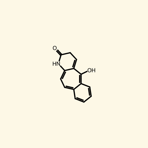 O=C1CC=C2C(=CC=c3ccccc3=C2O)N1